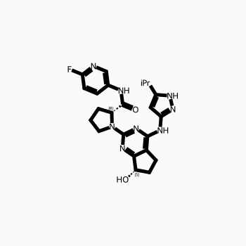 CC(C)c1cc(Nc2nc(N3CCC[C@@H]3C(=O)Nc3ccc(F)nc3)nc3c2CC[C@@H]3O)n[nH]1